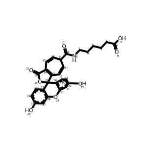 O=C(O)CCCCCNC(=O)C1C=CC2=C(C=C1)C1(OC2=O)c2ccc(O)cc2Oc2cc(O)ccc21